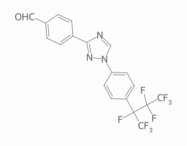 O=Cc1ccc(-c2ncn(-c3ccc(C(F)(C(F)(F)F)C(F)(F)C(F)(F)F)cc3)n2)cc1